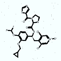 O=C(O[C@@H](Cc1c(Cl)c[n+]([O-])cc1Cl)c1ccc(OC(F)F)c(OCC2CC2)c1)C1SCCN1C(=O)c1cncs1